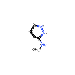 O=CNc1cccnn1